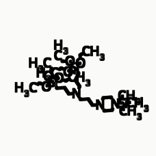 CCO[Si](CCCN(CCCN1CCN([Si](C)(C)C)CC1)CCC[Si](OCC)(OCC)OCC)(OCC)OCC